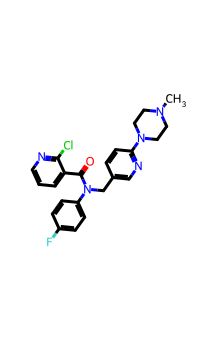 CN1CCN(c2ccc(CN(C(=O)c3cccnc3Cl)c3ccc(F)cc3)cn2)CC1